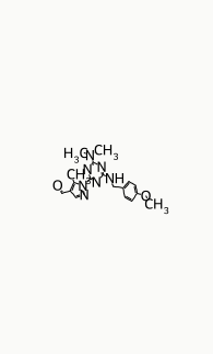 COc1ccc(CNc2nc(N(C)C)nc(-n3ncc(C=O)c3C)n2)cc1